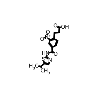 CC(C)c1cnc(NC(=O)c2ccc(CCC(=O)O)c([N+](=O)[O-])c2)s1